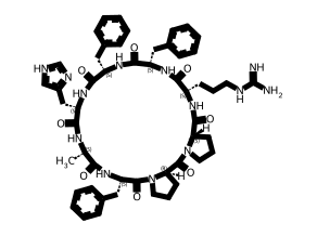 C[C@@H]1NC(=O)[C@H](Cc2c[nH]cn2)NC(=O)[C@H](Cc2ccccc2)NC(=O)[C@H](Cc2ccccc2)NC(=O)[C@H](CCCNC(=N)N)NC(=O)[C@@H]2CCCN2C(=O)[C@H]2CCCN2C(=O)[C@H](Cc2ccccc2)NC1=O